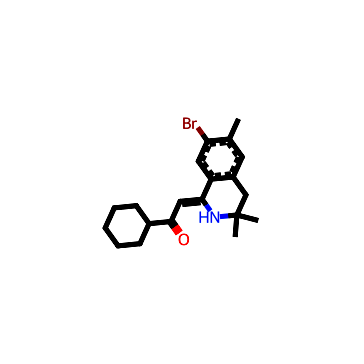 Cc1cc2c(cc1Br)C(=CC(=O)C1CCCCC1)NC(C)(C)C2